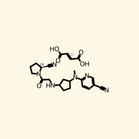 CN(c1ccc(C#N)cn1)C1CCC(NCC(=O)N2CCC[C@H]2C#N)C1.O=C(O)/C=C/C(=O)O